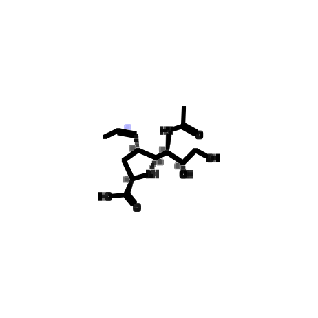 C/C=C\[C@H]1C[C@H](C(=O)O)N[C@H]1[C@@H](NC(C)=O)[C@@H](O)CO